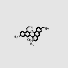 Cc1ccc2c(CC(C)(C)C)c3c(c(C)c2c1)-c1c2c(c4ccc(CC(C)C)cc4cc2cc[n+]1C)O3